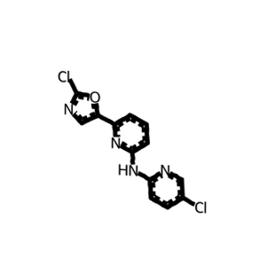 Clc1ccc(Nc2cccc(-c3cnc(Cl)o3)n2)nc1